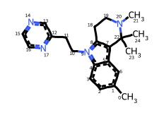 Cc1ccc2c(c1)c1c(n2CCc2cnccn2)CCN(C)C1(C)C